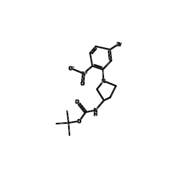 CC(C)(C)OC(=O)NC1CCN(c2cc(Br)ccc2[N+](=O)[O-])C1